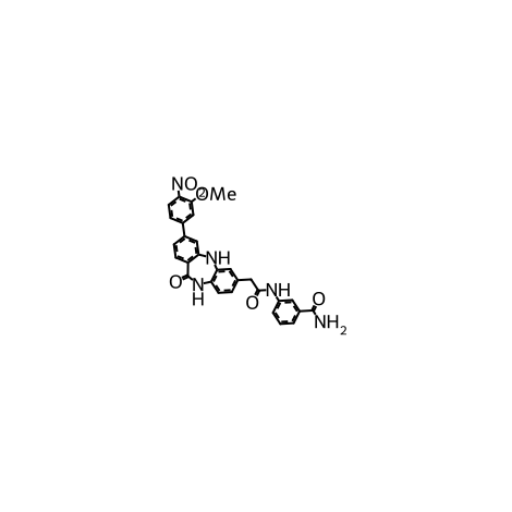 COc1cc(-c2ccc3c(c2)Nc2cc(CC(=O)Nc4cccc(C(N)=O)c4)ccc2NC3=O)ccc1[N+](=O)[O-]